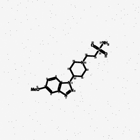 COc1ccc2c(c1)nnn2C1CCN(CCS(N)(=O)=O)CC1